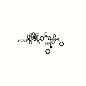 CCCCCCCCNC(=O)[C@H](CNC(=O)c1ccc(C(=O)N2C[C@@H](C(=O)N[C@H]3C[C@@H]3c3ccccc3)[C@H](C(=O)N[C@H]3C[C@@H]3c3ccccc3)C2)cc1)NC(=O)CCCCCCCC